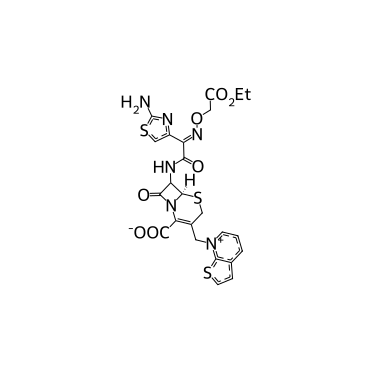 CCOC(=O)CO/N=C(/C(=O)NC1C(=O)N2C(C(=O)[O-])=C(C[n+]3cccc4ccsc43)CS[C@H]12)c1csc(N)n1